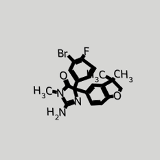 CN1C(=O)C(c2ccc(F)c(Br)c2)(c2ccc3c(c2)C(C)(C)CO3)N=C1N